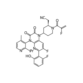 C=C(F)C(=O)N1CCC(n2c(=O)c(=O)n(-c3c(C)ccnc3C(C)C)c3nc(-c4c(O)cccc4F)c(F)cc32)C[C@H]1CC#N